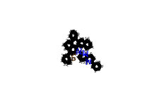 c1ccc(-c2ccc3nc(-n4c5c6ccccc6cc6c5c5c7c(cccc7c7c8ccccc8sc7c54)-c4ccccc4-6)ccc3n2)cc1